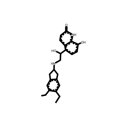 CCc1cc2c(cc1CC)CC(NCC(O)c1ccc(O)c3[nH]c(=O)ccc13)C2